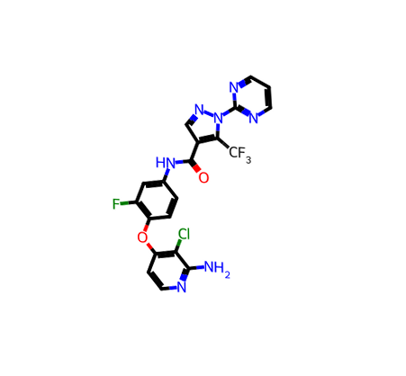 Nc1nccc(Oc2ccc(NC(=O)c3cnn(-c4ncccn4)c3C(F)(F)F)cc2F)c1Cl